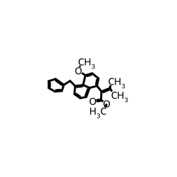 COC(=O)C(=C(C)C)c1ccc(OC)c2c(Cc3ccccc3)cccc12